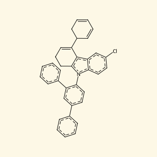 Clc1ccc2c(c1)c1c(n2-c2ccc(-c3ccccc3)cc2-c2ccccc2)CCC=C1C1C=CC=CC1